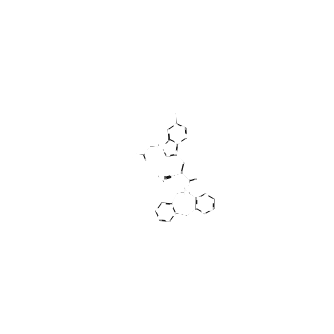 Cc1ccc2c(C=C(C#N)C(=O)N3Cc4ccccc4Cc4ccccc43)cn(CC(=O)O)c2c1